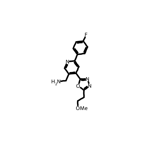 COCCc1nnc(-c2cc(-c3ccc(F)cc3)ncc2CN)o1